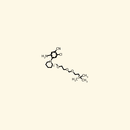 C[Si](C)(C)CCOCOCCOC[C@@H]1CCCCN1c1cc(Cl)c(C#N)cc1N